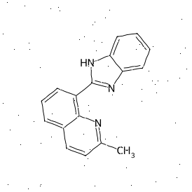 Cc1ccc2cccc(-c3nc4ccccc4[nH]3)c2n1